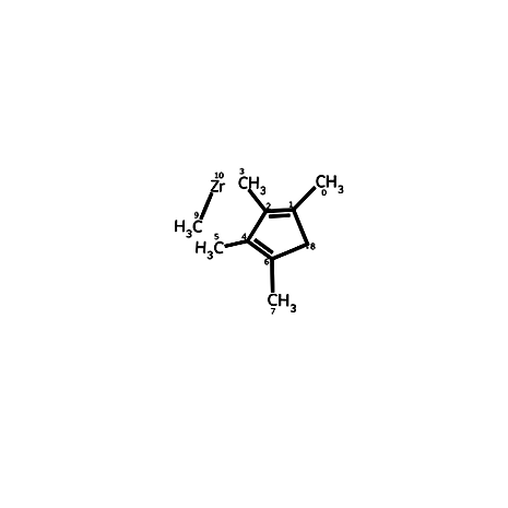 CC1=C(C)C(C)=C(C)[CH]1.[CH3][Zr]